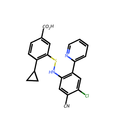 N#Cc1cc(NSc2cc(C(=O)O)ccc2C2CC2)c(-c2ccccn2)cc1Cl